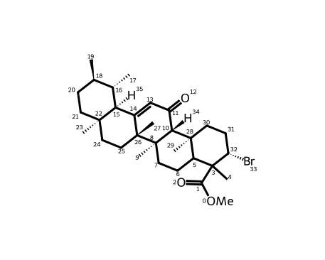 COC(=O)C1(C)C2CC[C@]3(C)[C@H](C(=O)C=C4[C@@H]5[C@@H](C)[C@H](C)CC[C@]5(C)CC[C@]43C)[C@@]2(C)CC[C@@H]1Br